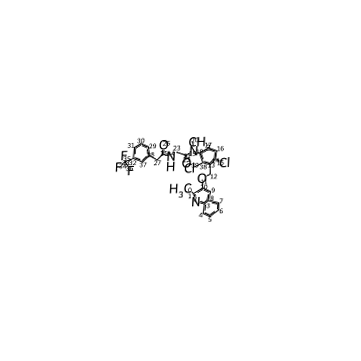 Cc1nc2ccccc2cc1OCc1c(Cl)ccc(N(C)C(=O)CNC(=O)Cc2cccc(C(F)(F)F)c2)c1Cl